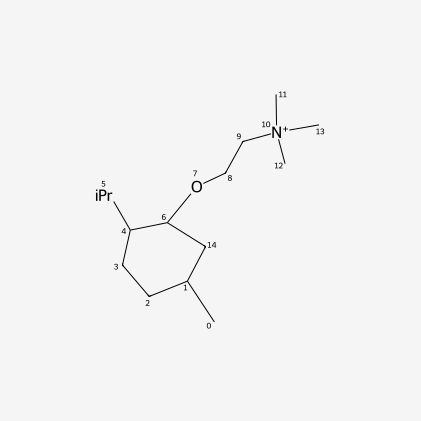 CC1CCC(C(C)C)C(OCC[N+](C)(C)C)C1